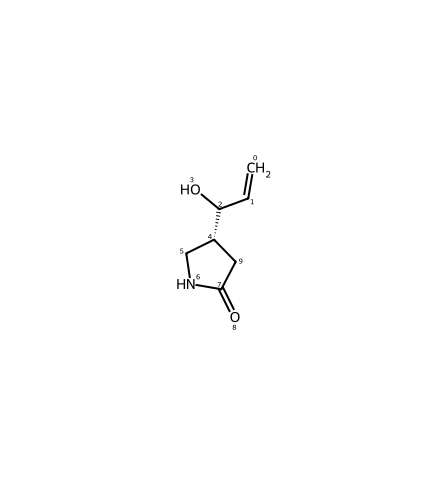 C=CC(O)[C@H]1CNC(=O)C1